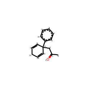 CC(=O)CC1(c2ccccc2)C=CCC=C1